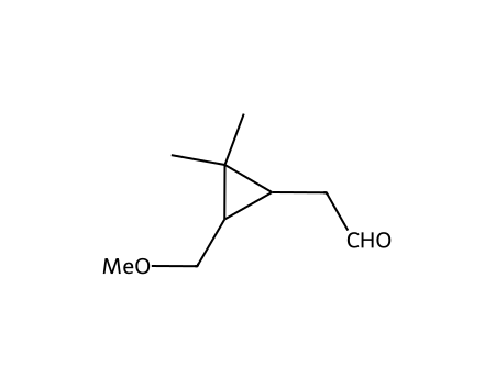 COCC1C(CC=O)C1(C)C